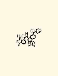 C[C@@H](Nc1nn(C)c(=O)c2cnc(C(=O)N3CCOCC3)cc12)c1cccc(C(F)F)c1F